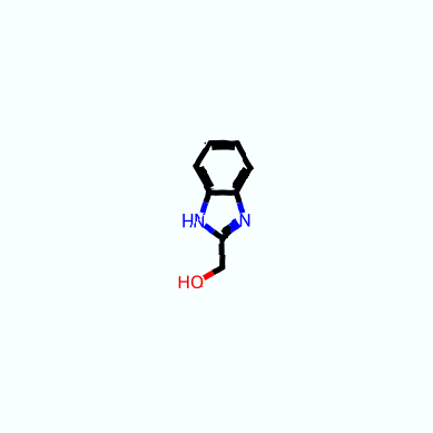 OCc1nc2cc[c]cc2[nH]1